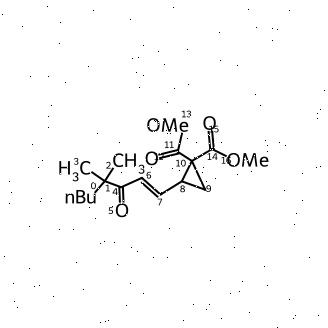 CCCCC(C)(C)C(=O)C=CC1CC1(C(=O)OC)C(=O)OC